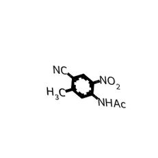 CC(=O)Nc1cc(C)c(C#N)cc1[N+](=O)[O-]